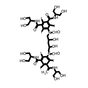 C=C(NC(CO)CO)c1c(I)c(C(=O)NC(CO)CO)c(I)c(N(C=O)CC(O)CC(O)CN(C=O)c2c(I)c(C(=O)NC(CO)CO)c(I)c(C(=O)NC(CO)CO)c2I)c1I